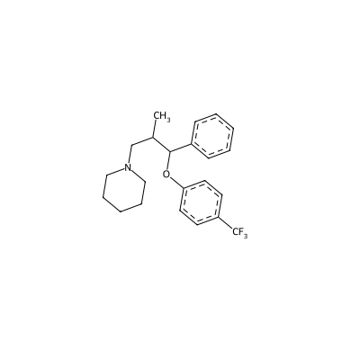 CC(CN1CCCCC1)C(Oc1ccc(C(F)(F)F)cc1)c1ccccc1